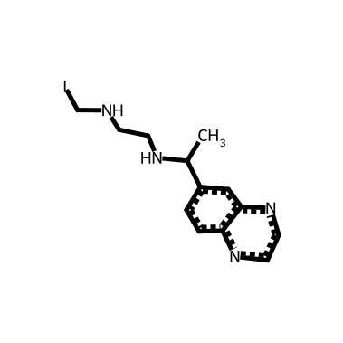 CC(NCCNCI)c1ccc2nccnc2c1